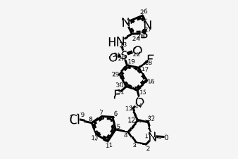 CN1CCC(c2ccc(Cl)cc2)C(COc2cc(F)c(S(=O)(=O)Nc3ncns3)cc2F)C1